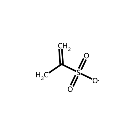 C=C(C)S([O])(=O)=O